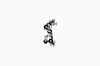 O=C1NC(=O)/C(=C\c2ccnc(N3CCC(CNCc4cc(-c5ccc[nH]5)nc(C(F)(F)F)c4)CC3)n2)S1